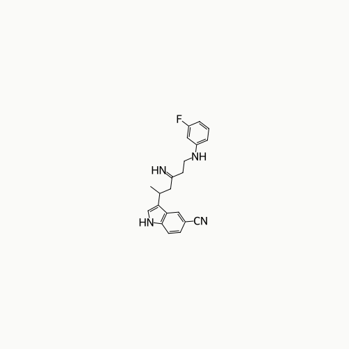 CC(CC(=N)CCNc1cccc(F)c1)c1c[nH]c2ccc(C#N)cc12